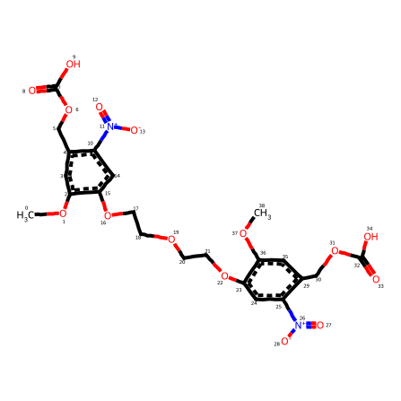 COc1cc(COC(=O)O)c([N+](=O)[O-])cc1OCCOCCOc1cc([N+](=O)[O-])c(COC(=O)O)cc1OC